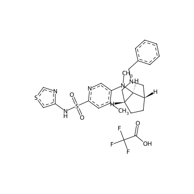 Cc1cc(S(=O)(=O)Nc2cscn2)ncc1N(C)[C@@H]1[C@@H]2CC[C@H]1CN(Cc1ccccc1)C2.O=C(O)C(F)(F)F